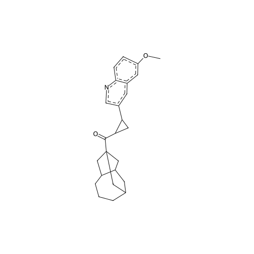 COc1ccc2ncc(C3CC3C(=O)C34CC5CCCC(C3)C(C5)C4)cc2c1